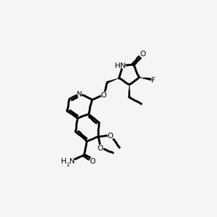 CC[C@@H]1[C@H](F)C(=O)N[C@@H]1COC1N=CC=C2C=C(C(N)=O)C(OC)(OC)C=C21